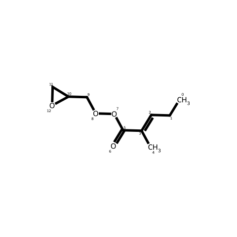 CCC=C(C)C(=O)OOCC1CO1